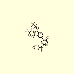 COC(=O)C(C)N1C(=O)c2cc(-c3nc(NC4CCOCC4)ncc3Cl)ccc2C1O[Si](C)(C)C(C)(C)C